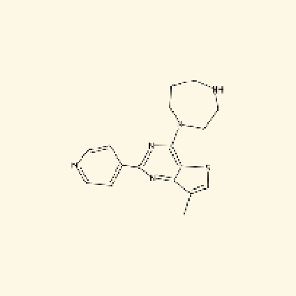 Cc1csc2c(N3CCCNCC3)nc(-c3ccncc3)nc12